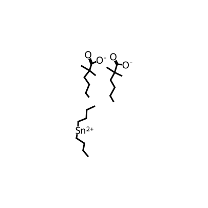 CCCCC(C)(C)C(=O)[O-].CCCCC(C)(C)C(=O)[O-].CCC[CH2][Sn+2][CH2]CCC